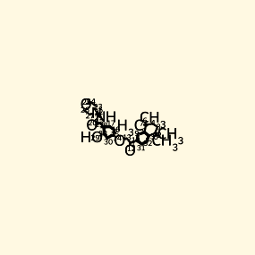 CC1(C)CCC(C)(C)c2cc(C(=O)COc3ccc(C(=O)NN4CCOCC4)c(O)c3)ccc21